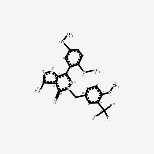 COc1ccc(OC)c(-c2nn(Cc3ccc(OC)c(C(F)(F)F)c3)c(=O)c3c(C)noc23)c1